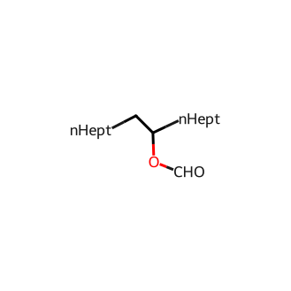 CCCCCCCCC(CCCCCCC)OC=O